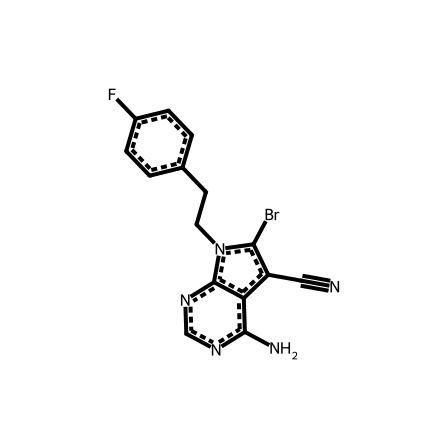 N#Cc1c(Br)n(CCc2ccc(F)cc2)c2ncnc(N)c12